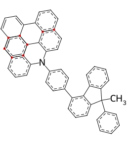 CC1(c2ccccc2)c2ccccc2-c2c(-c3ccc(N(c4ccccc4C4C=CC=C5C=CC=C(c6ccccc6)C54)c4cccc5ccccc45)cc3)cccc21